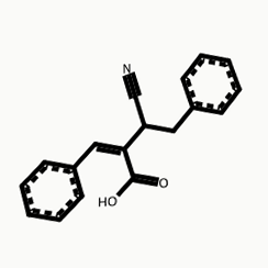 N#CC(Cc1ccccc1)C(=Cc1ccccc1)C(=O)O